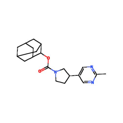 Cc1ncc(C2CCN(C(=O)OC3C4CC5CC(C4)CC3C5)C2)cn1